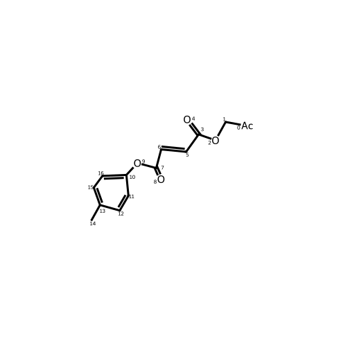 CC(=O)COC(=O)/C=C/C(=O)Oc1ccc(C)cc1